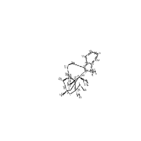 CC[C@H]1C[C@H]2C[C@H]3c4[nH]c5ccccc5c4CCN(C2)[C@@H]13